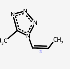 C/C=C\n1nnnc1C